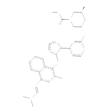 Cc1cc(N=CN(C)C)c2ccccc2c1Oc1ncsc1-c1ccnc(N[C@H]2C[C@H](F)CN(C(=O)OC(C)(C)C)C2)n1